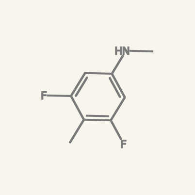 CNc1cc(F)c(C)c(F)c1